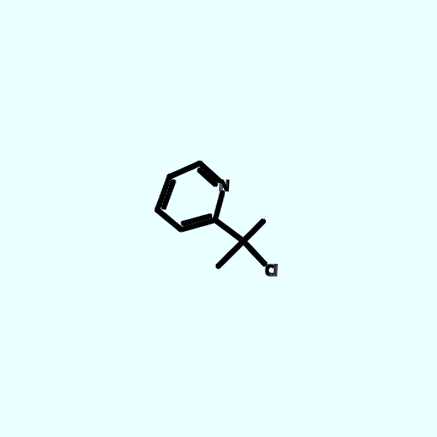 CC(C)(Cl)c1ccccn1